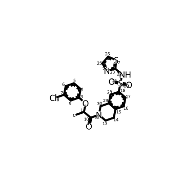 CC(Oc1cccc(Cl)c1)C(=O)N1CCc2ccc(S(=O)(=O)Nc3nccs3)cc2C1